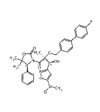 C[S+]([O-])c1cc([C@H](O)[C@](C)(OCc2ccc(-c3ccc(F)cc3)cc2)C(=O)N2C(=O)OC(C)(C)[C@@H]2c2ccccc2)no1